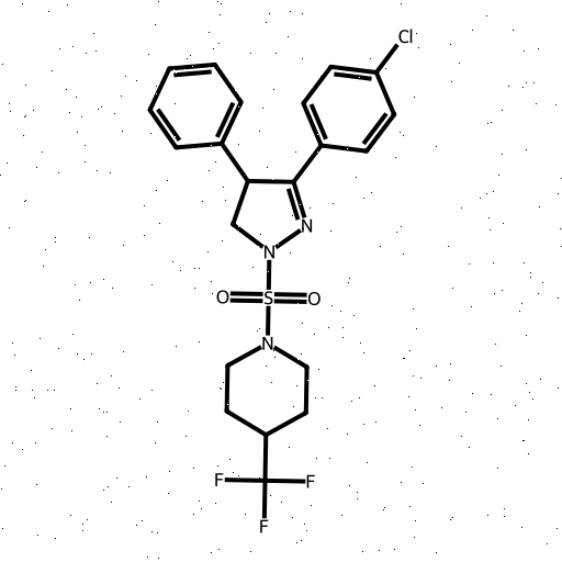 O=S(=O)(N1CCC(C(F)(F)F)CC1)N1CC(c2ccccc2)C(c2ccc(Cl)cc2)=N1